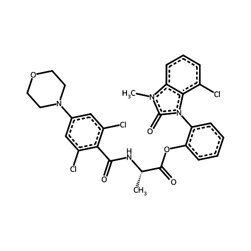 C[C@H](NC(=O)c1c(Cl)cc(N2CCOCC2)cc1Cl)C(=O)Oc1ccccc1-n1c(=O)n(C)c2cccc(Cl)c21